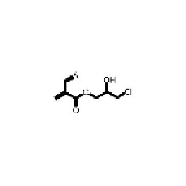 C=C(C=S)C(=O)OCC(O)CCl